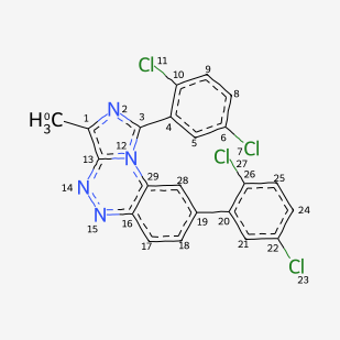 Cc1nc(-c2cc(Cl)ccc2Cl)n2c1nnc1ccc(-c3cc(Cl)ccc3Cl)cc12